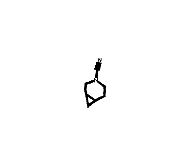 N#CN1CCC2CC2C1